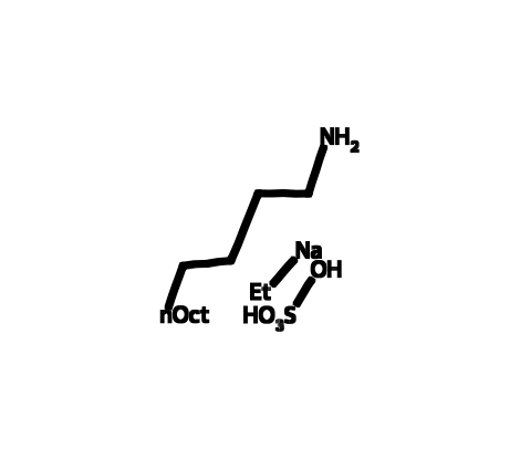 CCCCCCCCCCCCN.C[CH2][Na].O=S(=O)(O)O